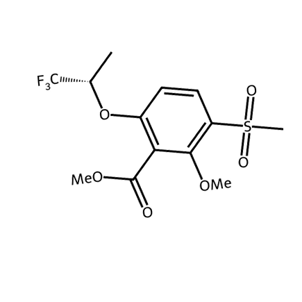 COC(=O)c1c(O[C@@H](C)C(F)(F)F)ccc(S(C)(=O)=O)c1OC